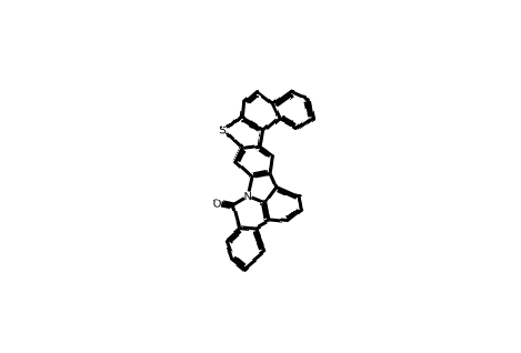 O=c1c2ccccc2c2cccc3c4cc5c(cc4n1c23)sc1ccc2ccccc2c15